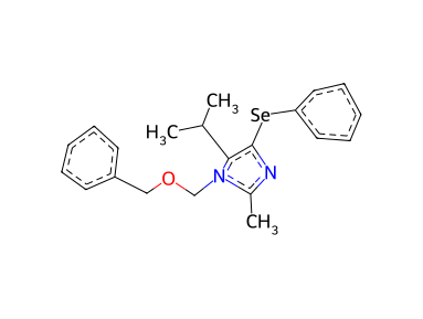 Cc1nc([Se]c2ccccc2)c(C(C)C)n1COCc1ccccc1